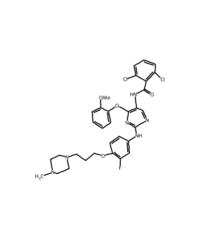 COc1ccccc1Oc1nc(Nc2ccc(OCCCN3CCN(C)CC3)c(F)c2)ncc1NC(=O)c1c(Cl)cccc1Cl